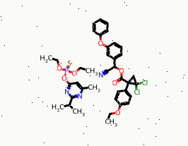 CCOP(=S)(OCC)Oc1cc(C)nc(C(C)C)n1.CCOc1ccc(C2(C(=O)OC(C#N)c3cccc(Oc4ccccc4)c3)CC2(Cl)Cl)cc1